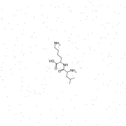 CC(C)CC(N)C(=O)NC(CCCCN)C(=O)O